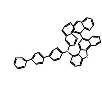 c1ccc(-c2ccc(-c3ccc(N(c4ccc5ccccc5c4)c4cccc5oc6c7ccccc7c(-c7cccc8ccccc78)cc6c45)cc3)cc2)cc1